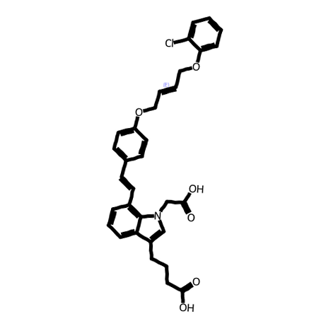 O=C(O)CCCc1cn(CC(=O)O)c2c(C=Cc3ccc(OC/C=C/COc4ccccc4Cl)cc3)cccc12